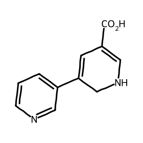 O=C(O)C1=CNCC(c2cccnc2)=C1